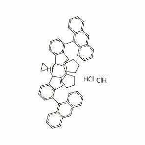 C1=C(C2CCCC2)[CH]([Hf]2([CH]3C(C4CCCC4)=Cc4c(-c5c6ccccc6cc6ccccc56)cccc43)[CH2][CH2]2)c2cccc(-c3c4ccccc4cc4ccccc34)c21.Cl.Cl